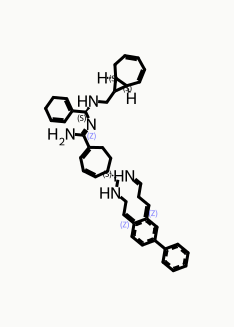 N=CC/C=c1/cc(-c2ccccc2)cc/c1=C/CNC[C@@H]1C=CC=C(/C(N)=N/[C@H](NCC2[C@H]3CC=CC=C[C@@H]23)C2=CCCC=C2)CC1